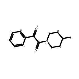 CC1CCN(C(=S)C(=O)c2ccccc2)CC1